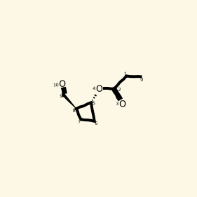 CCC(=O)O[C@@H]1CC[C@H]1C=O